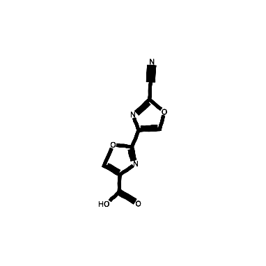 N#Cc1nc(-c2nc(C(=O)O)co2)co1